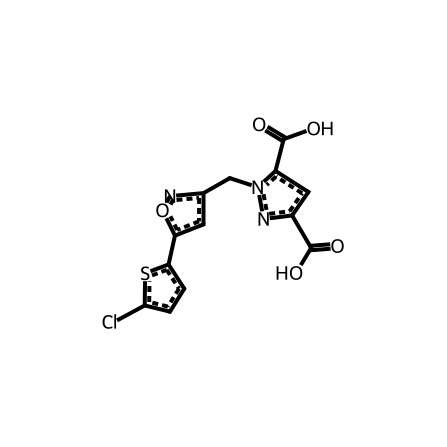 O=C(O)c1cc(C(=O)O)n(Cc2cc(-c3ccc(Cl)s3)on2)n1